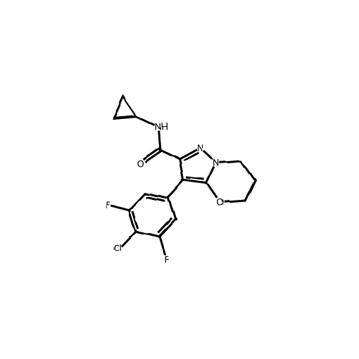 O=C(NC1CC1)c1nn2c(c1-c1cc(F)c(Cl)c(F)c1)OCCC2